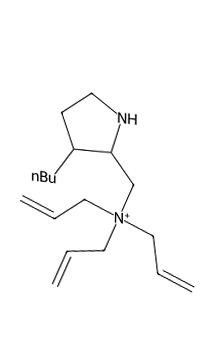 C=CC[N+](CC=C)(CC=C)CC1NCCC1CCCC